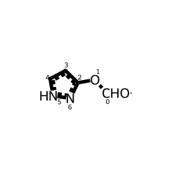 O=[C]Oc1cc[nH]n1